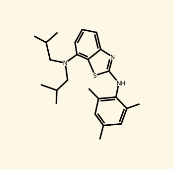 Cc1cc(C)c(Nc2nc3cccc(N(CC(C)C)CC(C)C)c3s2)c(C)c1